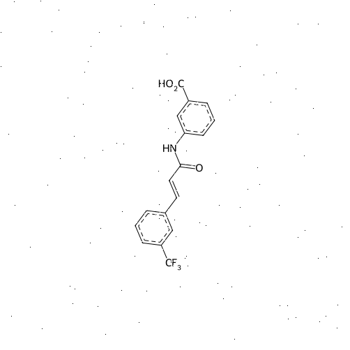 O=C(/C=C/c1cccc(C(F)(F)F)c1)Nc1cccc(C(=O)O)c1